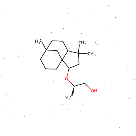 C[C@H](CO)OC1CC(C)(C)C2CCC3(C)CCCC12C3